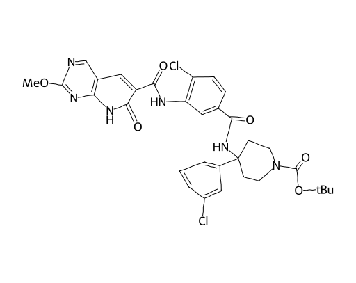 COc1ncc2cc(C(=O)Nc3cc(C(=O)NC4(c5cccc(Cl)c5)CCN(C(=O)OC(C)(C)C)CC4)ccc3Cl)c(=O)[nH]c2n1